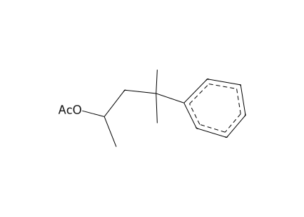 CC(=O)OC(C)CC(C)(C)c1ccccc1